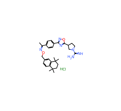 CC(=NOCc1ccc2c(c1)C(C)(C)CCC2(C)C)c1ccc(-c2noc(C3CCN(C(=N)N)C3)n2)cc1.Cl